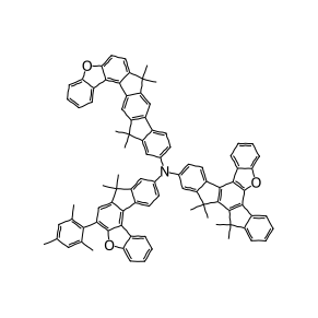 Cc1cc(C)c(-c2cc3c(c4c2oc2ccccc24)-c2ccc(N(c4ccc5c(c4)C(C)(C)c4cc6c(cc4-5)C(C)(C)c4ccc5oc7ccccc7c5c4-6)c4ccc5c(c4)C(C)(C)c4c6c(c7oc8ccccc8c7c4-5)-c4ccccc4C6(C)C)cc2C3(C)C)c(C)c1